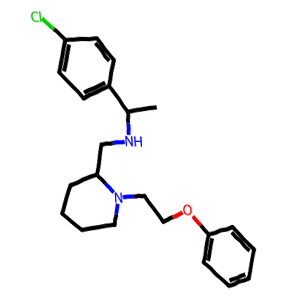 CC(NCC1CCCCN1CCOc1ccccc1)c1ccc(Cl)cc1